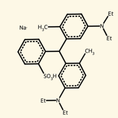 CCN(CC)c1ccc(C)c(C(c2cc(N(CC)CC)ccc2C)c2ccccc2S(=O)(=O)O)c1.[Na]